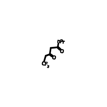 CCCC(=O)CC(=O)CC(F)(F)F